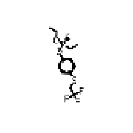 CCOP(=S)(CC)Oc1ccc(SCC(F)(F)F)cc1